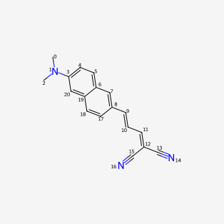 CN(C)c1ccc2cc(C=CC=C(C#N)C#N)ccc2c1